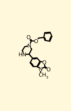 Cn1c(=O)oc2cc(C3CN(C(=O)OCc4ccccc4)CCN3)ccc21